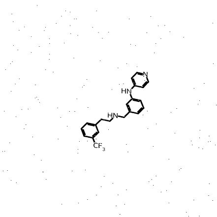 FC(F)(F)c1cccc(CCNCc2cccc(Nc3ccncc3)c2)c1